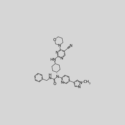 Cn1cc(-c2ccc(N(C(=O)NCc3ccccc3)[C@H]3CC[C@H](Nc4ncc(C#N)c(N5CCCOC5)n4)CC3)nc2)cn1